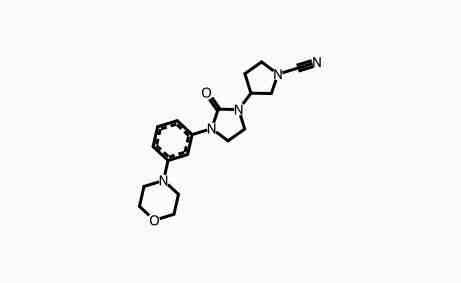 N#CN1CCC(N2CCN(c3cccc(N4CCOCC4)c3)C2=O)C1